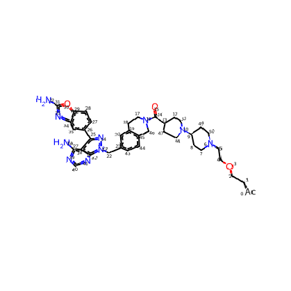 CC(=O)CCOCCN1CCC(N2CCC(C(=O)N3CCc4cc(Cn5nc(-c6ccc7oc(N)nc7c6)c6c(N)ncnc65)ccc4C3)CC2)CC1